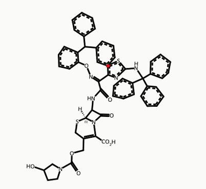 O=C(O)C1=C(COC(=O)N2CCC(O)C2)CS[C@H]2C(NC(=O)C(=NOc3ccccc3C(c3ccccc3)c3ccccc3)c3csc(NC(c4ccccc4)(c4ccccc4)c4ccccc4)n3)C(=O)N12